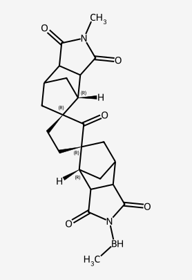 CBN1C(=O)C2C3C[C@H](C2C1=O)[C@@]1(CC[C@]2(CC4C[C@@H]2C2C(=O)N(C)C(=O)C42)C1=O)C3